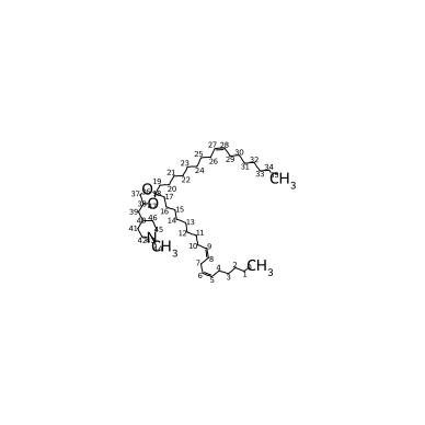 CCCCC/C=C\C/C=C\CCCCCCCCC1(CCCCCCCC/C=C\CCCCCCC)OCC(CC2CCN(C)CC2)O1